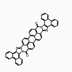 O=c1c2ccc3c4ccc5c6c(ccc(c7ccc(c2c37)c2nc3c7ccccc7c7ccccc7c3n12)c46)c(=O)n1c5nc2c3ccccc3c3ccccc3c21